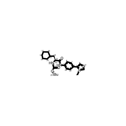 Cn1cncc1-c1ccc(NC(=O)[C@H](CC2CCCCC2)NC(=O)OC(C)(C)C)cc1